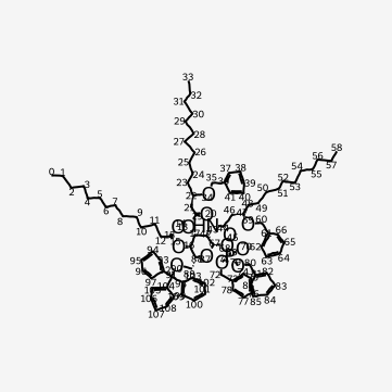 CCCCCCCCCCCCCC(=O)O[C@H]1[C@H](OC(=O)C[C@@H](CCCCCCCCCCC)OCc2ccccc2)[C@@H](NC(=O)C[C@@H](CCCCCCCCCCC)OCc2ccccc2)[C@@H](OP(=O)(OCc2ccccc2)OCc2ccccc2)O[C@@H]1COC(c1ccccc1)(c1ccccc1)c1ccccc1